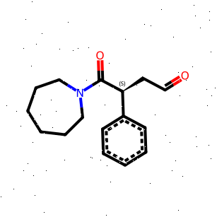 O=CC[C@H](C(=O)N1CCCCCC1)c1ccccc1